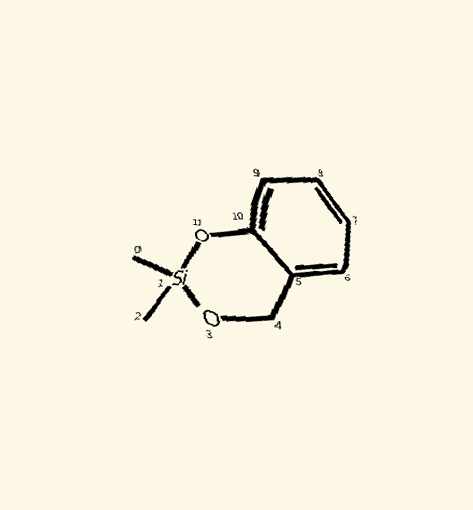 C[Si]1(C)OCc2ccccc2O1